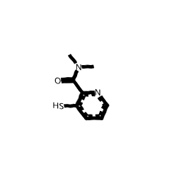 CN(C)C(=O)c1ncccc1S